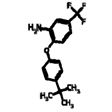 CC(C)(C)c1ccc(Oc2ccc(C(F)(F)F)cc2N)cc1